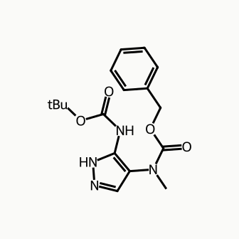 CN(C(=O)OCc1ccccc1)c1cn[nH]c1NC(=O)OC(C)(C)C